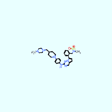 CN1CCN(CC2CCN(c3ccc(Nc4ncc5ccc(-c6ccccc6CN(C)[SH](=O)=O)n5n4)cc3)CC2)CC1